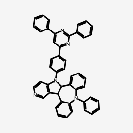 c1ccc(-c2cc(-c3ccc(N4c5ccncc5C5c6ccccc6N(c6ccccc6)c6ccccc6C54)cc3)nc(-c3ccccc3)n2)cc1